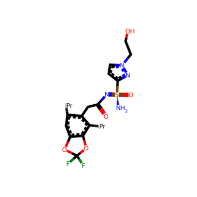 CC(C)c1cc2c(c(C(C)C)c1CC(=O)N=[S@@](N)(=O)c1ccn(CCO)n1)OC(F)(F)O2